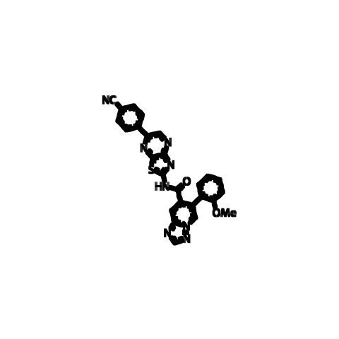 COc1ccccc1-c1cn2ncnc2cc1C(=O)Nc1nc2ncc(-c3ccc(C#N)cc3)nc2s1